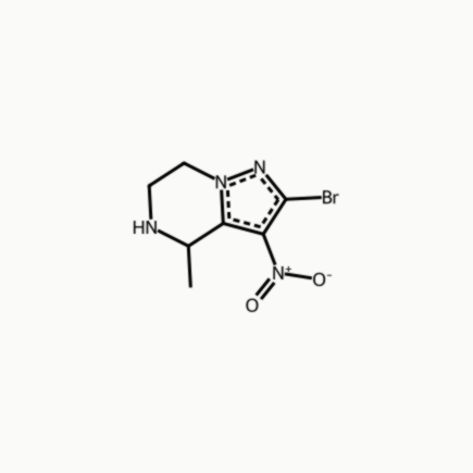 CC1NCCn2nc(Br)c([N+](=O)[O-])c21